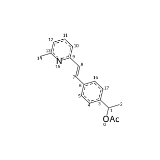 CC(=O)OC(C)c1ccc(C=Cc2cccc(C)n2)cc1